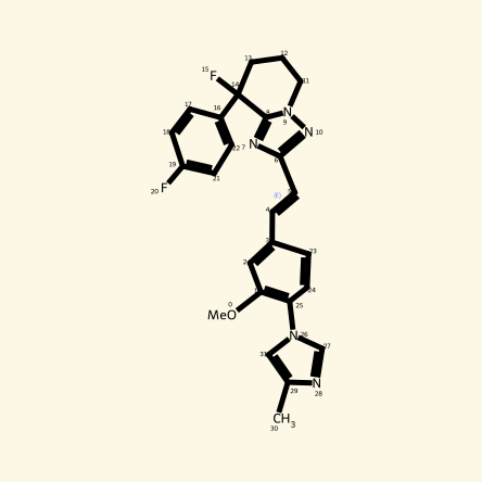 COc1cc(/C=C/c2nc3n(n2)CCCC3(F)c2ccc(F)cc2)ccc1-n1cnc(C)c1